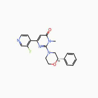 Cn1c(N2CCO[C@@H](c3ccccc3)C2)nc(-c2ccncc2F)cc1=O